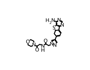 Nc1ncnc2c1SC1CC(c3cnn(CC(=O)NCC(=O)N4CCOCC4)c3)=CC=C21